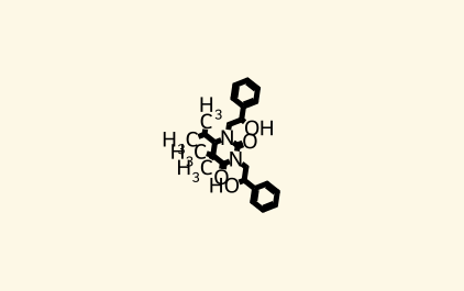 CC(C)C1N(CC(O)c2ccccc2)C(=O)N(CC(O)c2ccccc2)C(=O)C1(C)C